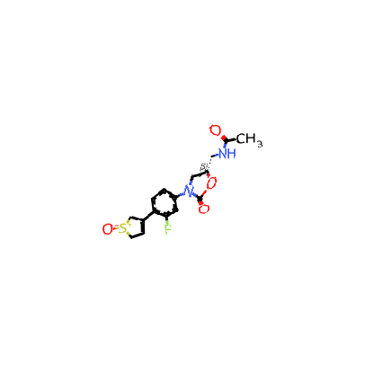 CC(=O)NC[C@H]1CN(c2ccc(C3=CC[S+]([O-])C3)c(F)c2)C(=O)O1